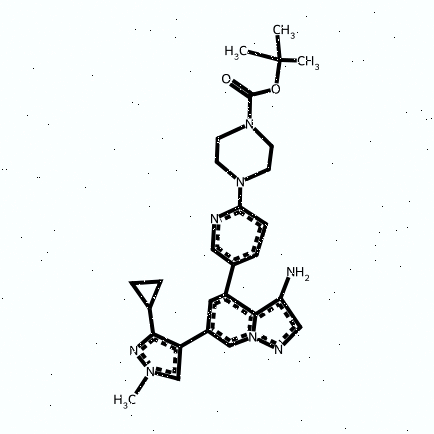 Cn1cc(-c2cc(-c3ccc(N4CCN(C(=O)OC(C)(C)C)CC4)nc3)c3c(N)cnn3c2)c(C2CC2)n1